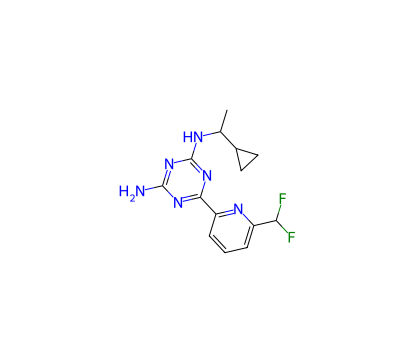 CC(Nc1nc(N)nc(-c2cccc(C(F)F)n2)n1)C1CC1